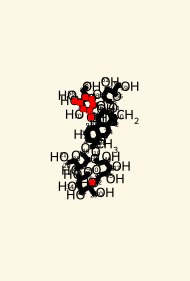 C=C1C[C@@]23CC[C@H]4[C@@](C)(CCC[C@@]4(C)C(=O)OC4OC(CO)C(O)C(OC5OC(CO)C(O)C(O)C5O)C4OC4OC(CO)C(O)C(O)C4O)[C@@H]2CC[C@]1(OC1OC(CO)C(O)C(OC2OC(CO)C(O)C(O)C2O)C1OC1OC(CO)C(O)C[C@@H]1O)C3